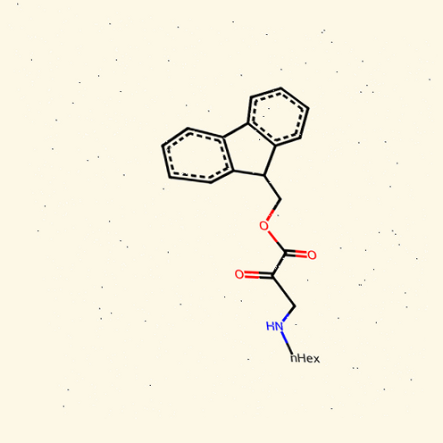 CCCCCCNCC(=O)C(=O)OCC1c2ccccc2-c2ccccc21